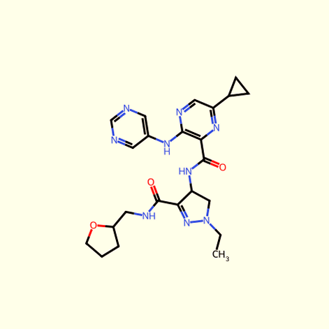 CCN1CC(NC(=O)c2nc(C3CC3)cnc2Nc2cncnc2)C(C(=O)NCC2CCCO2)=N1